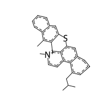 Cc1c2c(cc3ccccc13)Sc1cc3cccc(CC(C)C)c3c3cc[n+](C)c-2c13